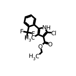 CCOC(=O)c1c(Cl)[nH]c(-c2ccccc2C(F)(F)F)c1C